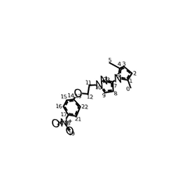 Cc1ccc(C)n1-c1ccn(CCOc2ccc([N+](=O)[O-])cc2)n1